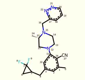 Cc1cc(CC2CC2(F)F)cc(N2CCN(Cc3cccnn3)[C@@H](C)C2)c1C#N